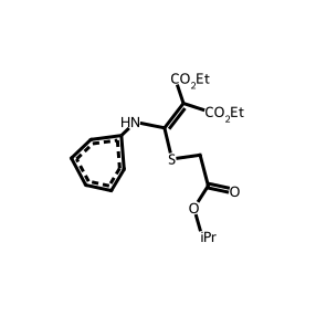 CCOC(=O)C(C(=O)OCC)=C(Nc1ccccc1)SCC(=O)OC(C)C